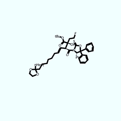 CCCCCCCC1(CCCCCC/C=C/[C@H](C(=O)N2C(=S)OC(c3ccccc3)(c3ccccc3)[C@@H]2C(C)C)[C@@](O)(CCF)C(=O)OC(C)(C)C)OCCO1